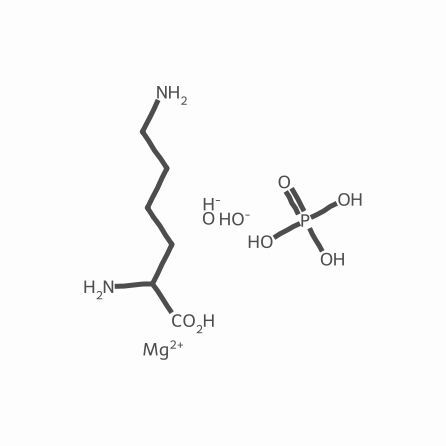 NCCCCC(N)C(=O)O.O=P(O)(O)O.[Mg+2].[OH-].[OH-]